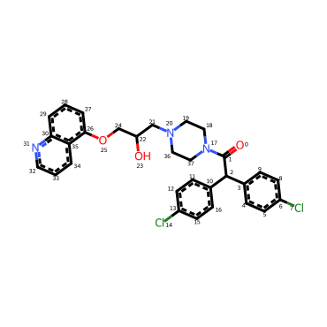 O=C(C(c1ccc(Cl)cc1)c1ccc(Cl)cc1)N1CCN(CC(O)COc2cccc3ncccc23)CC1